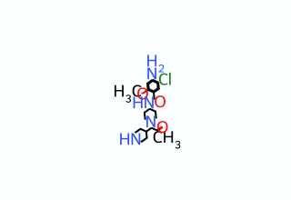 COc1cc(N)c(Cl)cc1C(=O)NC1CCN(C(C(C)=O)C2CCNCC2)CC1